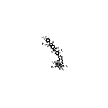 COCCCC[Si](C)(C)O[Si](C)(C)O[Si](C)(C)O[Si](C)(C)CCCCOc1ccc(-n2c(=O)c3cc4c(=O)n(-c5ccc(C)cc5C)c(=O)c4cc3c2=O)c(C)c1